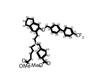 COC(=O)CCCCN(CCc1cc2c(cc1OCc1ccc(-c3ccc(C(F)(F)F)cc3)cc1)CCCC2)Cc1ccc(C(=O)OC)cc1